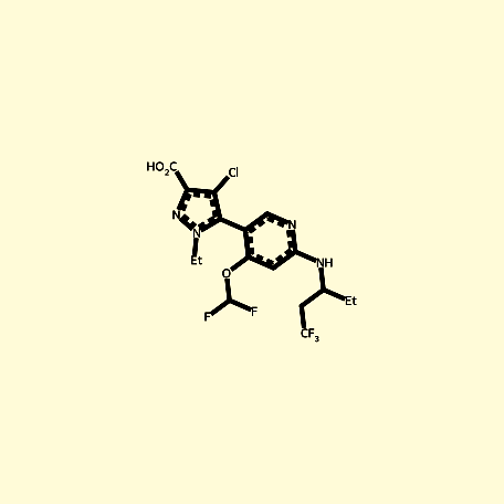 CCC(CC(F)(F)F)Nc1cc(OC(F)F)c(-c2c(Cl)c(C(=O)O)nn2CC)cn1